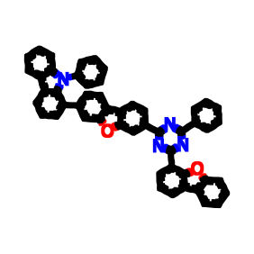 c1ccc(-c2nc(-c3ccc4c(c3)oc3cc(-c5cccc6c7ccccc7n(-c7ccccc7)c56)ccc34)nc(-c3cccc4c3oc3ccccc34)n2)cc1